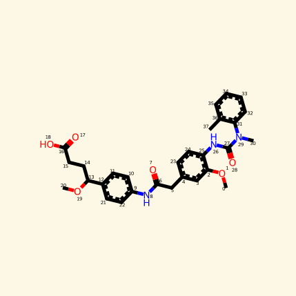 COc1cc(CC(=O)Nc2ccc(C(CCC(=O)O)OC)cc2)ccc1NC(=O)N(C)c1ccccc1C